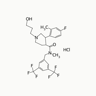 Cc1cc(F)ccc1C1CN(CCCO)CCC1C(=O)N(C)Cc1cc(C(F)(F)F)cc(C(F)(F)F)c1.Cl